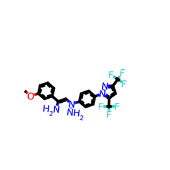 COc1cccc(/C(N)=C/N(N)c2ccc(-n3nc(C(F)(F)F)cc3C(F)(F)F)cc2)c1